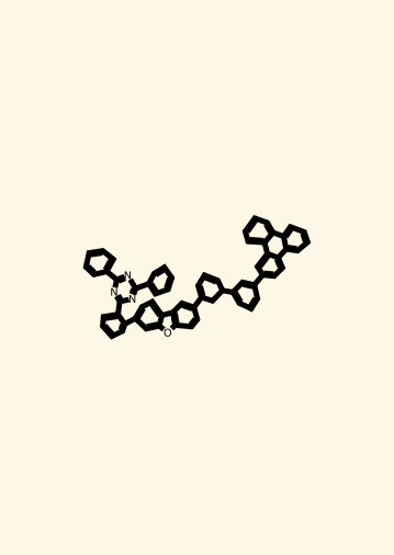 C1=CC(c2cccc(-c3ccc4c5ccccc5c5ccccc5c4c3)c2)CC(c2ccc3oc4cc(-c5ccccc5-c5nc(-c6ccccc6)nc(-c6ccccc6)n5)ccc4c3c2)=C1